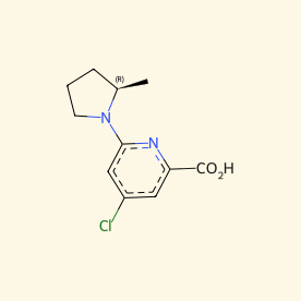 C[C@@H]1CCCN1c1cc(Cl)cc(C(=O)O)n1